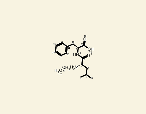 CC(C)C[C@H](N)C(=O)N[C@@H](Cc1ccccc1)C(=O)O.O.O